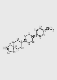 O=[N+]([O-])c1ccc(N2CCN(C3CCC4(CCNC4)CC3)CC2)cc1